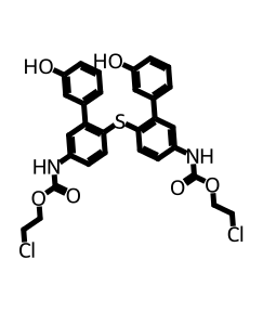 O=C(Nc1ccc(Sc2ccc(NC(=O)OCCCl)cc2-c2cccc(O)c2)c(-c2cccc(O)c2)c1)OCCCl